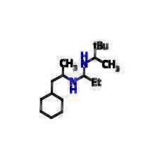 CCC(NC(C)CC1CCCCC1)NC(C)C(C)(C)C